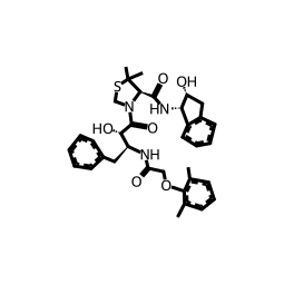 Cc1cccc(C)c1OCC(=O)N[C@@H](Cc1ccccc1)[C@H](O)C(=O)N1CSC(C)(C)[C@H]1C(=O)N[C@H]1c2ccccc2C[C@H]1O